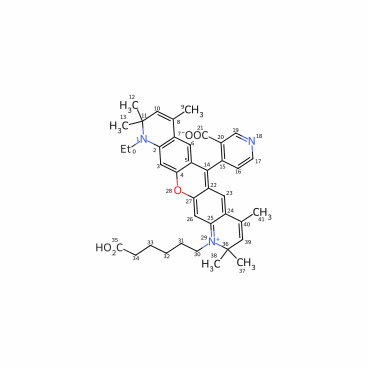 CCN1c2cc3c(cc2C(C)=CC1(C)C)C(c1ccncc1C(=O)[O-])=c1cc2c(cc1O3)=[N+](CCCCCC(=O)O)C(C)(C)C=C2C